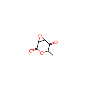 CC1OC(=O)C2OC2C1=O